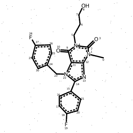 Cn1c(=O)n(CCCO)c(=O)c2c1nc(-c1ccc(F)cc1)n2Cc1ccc(F)cc1